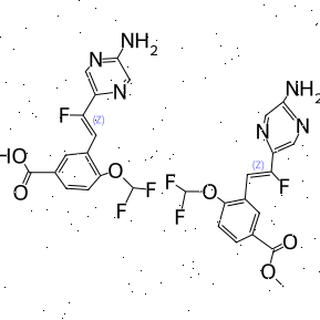 COC(=O)c1ccc(OC(F)F)c(/C=C(\F)c2cnc(N)cn2)c1.Nc1cnc(/C(F)=C/c2cc(C(=O)O)ccc2OC(F)F)cn1